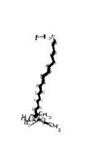 CCCCCCCCCCCCCCCCCC(C)(C)[SiH2]OCC